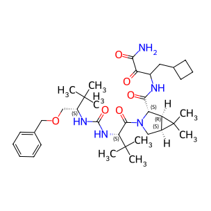 CC(C)(C)[C@H](NC(=O)N[C@H](COCc1ccccc1)C(C)(C)C)C(=O)N1C[C@H]2[C@@H]([C@H]1C(=O)NC(CC1CCC1)C(=O)C(N)=O)C2(C)C